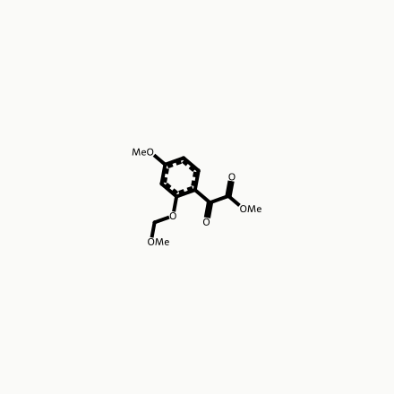 COCOc1cc(OC)ccc1C(=O)C(=O)OC